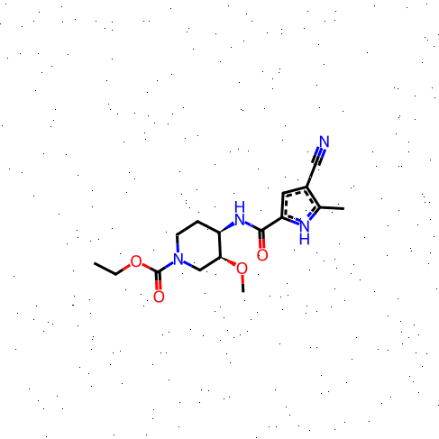 CCOC(=O)N1CC[C@@H](NC(=O)c2cc(C#N)c(C)[nH]2)[C@@H](OC)C1